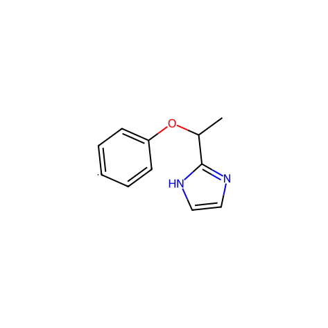 CC(Oc1cc[c]cc1)c1ncc[nH]1